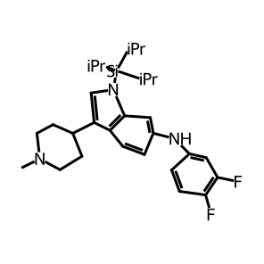 CC(C)[Si](C(C)C)(C(C)C)n1cc(C2CCN(C)CC2)c2ccc(Nc3ccc(F)c(F)c3)cc21